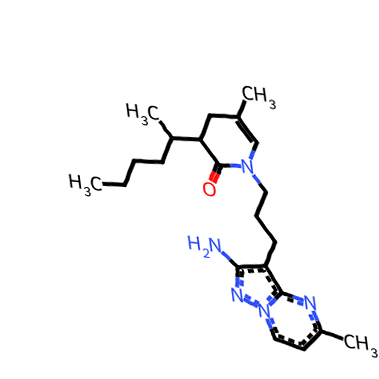 CCCCC(C)C1CC(C)=CN(CCCc2c(N)nn3ccc(C)nc23)C1=O